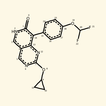 O=c1[nH]cc2cnc(OC3CC3)nc2c1-c1ccc(OC(F)F)cc1